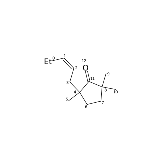 CC/C=C\CC1(C)CCC(C)(C)C1=O